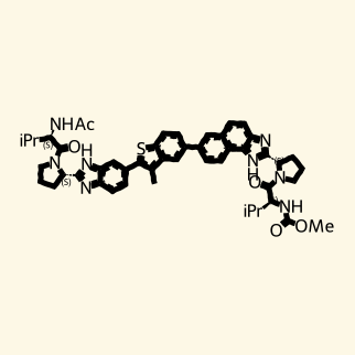 COC(=O)N[C@H](C(=O)N1CCC[C@H]1c1nc2ccc3cc(-c4ccc5sc(-c6ccc7nc([C@@H]8CCCN8C(=O)[C@@H](NC(C)=O)C(C)C)[nH]c7c6)c(C)c5c4)ccc3c2[nH]1)C(C)C